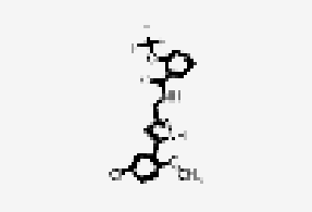 COc1ccc(Cl)cc1-c1cc(CNC(=O)c2ccccc2OC(F)(F)F)n[nH]1